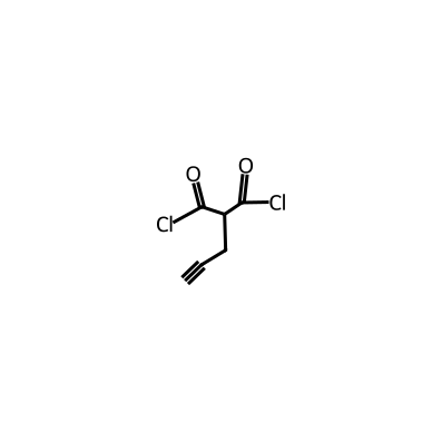 C#CCC(C(=O)Cl)C(=O)Cl